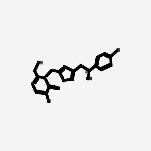 O=c1c(Cl)cnc(CO)n1Cc1nc(C[C@H](O)c2ccc(Cl)cc2)no1